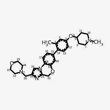 Cc1cc(OC2CCN(C)CC2)ccc1-c1ccc2c(c1)OCc1nc(CN3CCOCC3)cn1-2